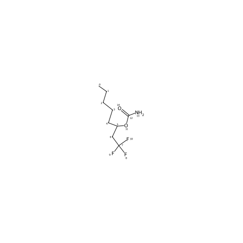 CCCCCC(CC(F)(F)F)OC(N)=O